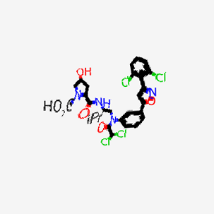 CC(C)[C@@H](CN(C(=O)C(Cl)Cl)c1cccc(-c2cc(-c3c(Cl)cccc3Cl)no2)c1)NC(=O)C1CC(O)CN1C(=O)O